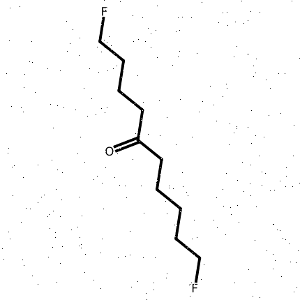 O=C(CCCCF)CCCCCF